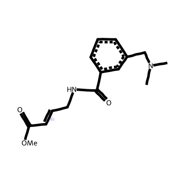 COC(=O)/C=C/CNC(=O)c1cccc(CN(C)C)c1